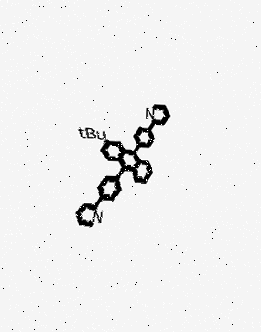 CC(C)(C)c1ccc2c(-c3ccc(-c4ccccn4)cc3)c3ccccc3c(-c3ccc(-c4ccccn4)cc3)c2c1